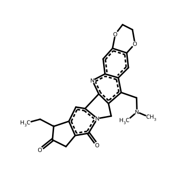 CC[C]1C(=O)Cc2c1cc1n(c2=O)Cc2c-1nc1cc3c(cc1c2CN(C)C)OCCO3